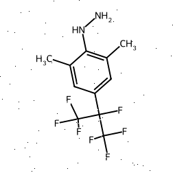 Cc1cc(C(F)(C(F)(F)F)C(F)(F)F)cc(C)c1NN